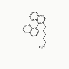 NCCCCCc1ccc2ccccc2c1-c1cccc2ccccc12